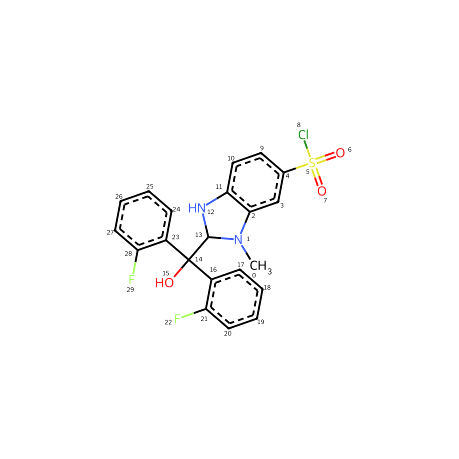 CN1c2cc(S(=O)(=O)Cl)ccc2NC1C(O)(c1ccccc1F)c1ccccc1F